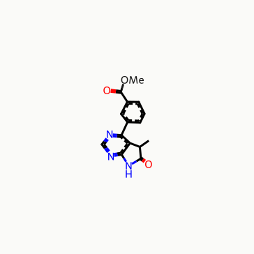 COC(=O)c1cccc(-c2ncnc3c2C(C)C(=O)N3)c1